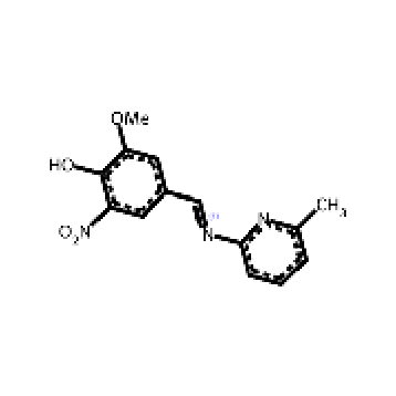 COc1cc(/C=N/c2cccc(C)n2)cc([N+](=O)[O-])c1O